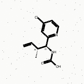 C=C[C@@H](C)[C@H](NC(=O)O)c1cc(Cl)ccn1